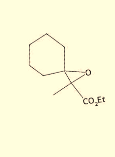 CCOC(=O)C1(C)OC12CCCCC2